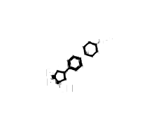 CCC[C@H]1CC[C@H](c2ccc(C3CC(C)(F)C(F)(F)C3)cc2)CC1